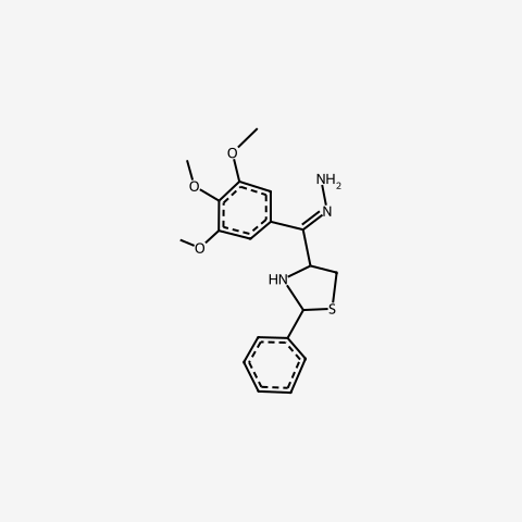 COc1cc(/C(=N\N)C2CSC(c3ccccc3)N2)cc(OC)c1OC